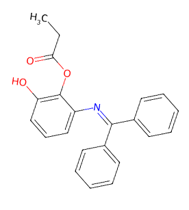 CCC(=O)Oc1c(O)cccc1N=C(c1ccccc1)c1ccccc1